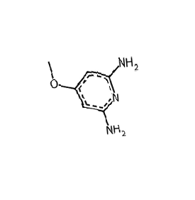 COc1cc(N)nc(N)c1